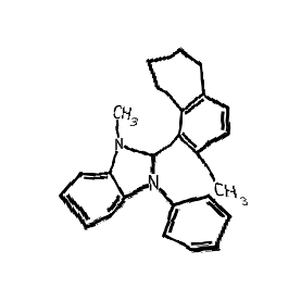 Cc1ccc2c(c1C1N(C)c3ccccc3N1c1ccccc1)CCCC2